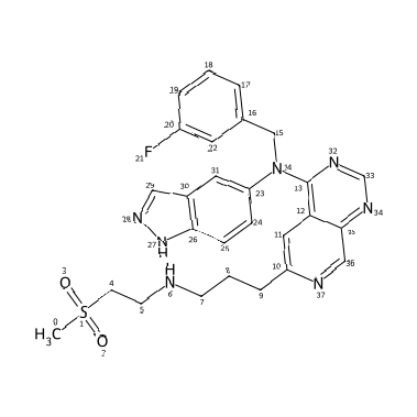 CS(=O)(=O)CCNCCCc1cc2c(N(Cc3cccc(F)c3)c3ccc4[nH]ncc4c3)ncnc2cn1